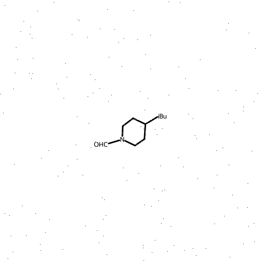 CCC(C)C1CCN(C=O)CC1